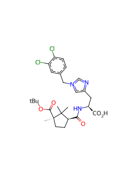 CC(C)(C)OC(=O)[C@]1(C)CC[C@H](C(=O)N[C@@H](Cc2cn(Cc3ccc(Cl)c(Cl)c3)cn2)C(=O)O)C1(C)C